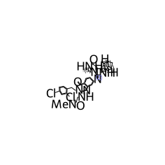 CNC(=O)CNc1nc2cc(/N=C(/N[C@H]3C[C@@H]4C[C@H]([C@@H]3C)C4(C)C)N3CC(=O)N[C@@H](C)C3)ccc2c(=O)n1CCc1ccc(Cl)cc1Cl